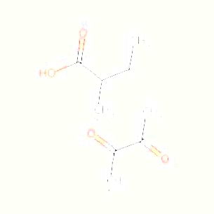 CC(=O)C(C)=O.CCC(C)C(=O)O